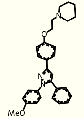 COc1ccc(-n2nc(-c3ccc(OCCN4CCCCC4)cc3)cc2-c2ccccc2)cc1